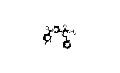 Cc1ccc(C(=O)N2CC[C@@H](N(CCc3ccccn3)C(N)=O)C2)cn1